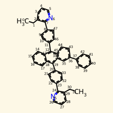 CCc1cccnc1-c1ccc(-c2c3ccccc3c(-c3ccc(-c4ncccc4CC)cc3)c3cc(-c4ccccc4)ccc23)cc1